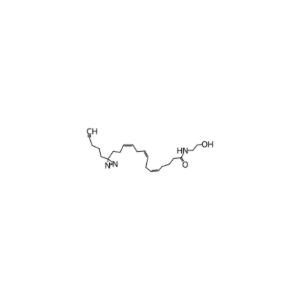 C#CCCCC1(CC/C=C\C/C=C\C/C=C\CCCC(=O)NCCO)N=N1